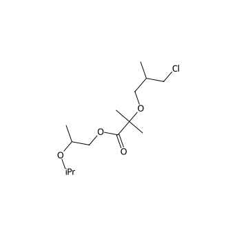 CC(CCl)COC(C)(C)C(=O)OCC(C)OC(C)C